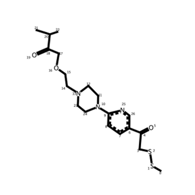 CSSCC(=O)c1ccc(N2CCN(CCOCC(=O)C(C)C)CC2)nc1